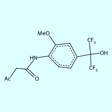 COc1cc(C(O)(C(F)(F)F)C(F)(F)F)ccc1NC(=O)CC(C)=O